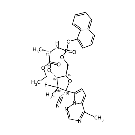 CCOC(=O)[C@H](C)NP(=O)(OC[C@H]1O[C@@](C#N)(c2ccc3c(C)ncnn23)[C@](C)(F)[C@@H]1O)Oc1cccc2ccccc12